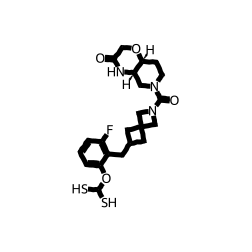 O=C1CO[C@H]2CCN(C(=O)N3CC4(CC(Cc5c(F)cccc5OC(S)S)C4)C3)C[C@H]2N1